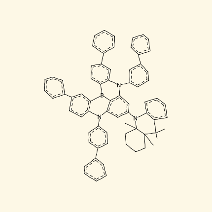 CC1(C)c2ccccc2N(c2cc3c4c(c2)N(c2cccc(-c5ccccc5)c2)c2cc(-c5ccccc5)ccc2B4c2cc(-c4ccccc4)ccc2N3c2ccc(-c3ccccc3)cc2)C2(C)CCCCC12C